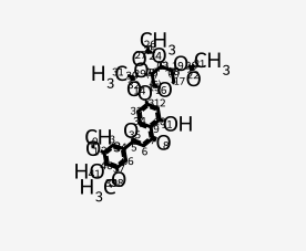 COc1cc(-c2cc(=O)c3c(O)cc(O[C@@H]4OC[C@@H](OC(C)=O)[C@H](OC(C)=O)[C@H]4OC(C)=O)cc3o2)cc(OC)c1O